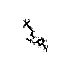 CCN(C/C=C/C#CC(C)(C)C)Cc1cccc(CCl)c1